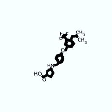 CC(C)Cc1ccc(COc2ccc(CNC3CCC(C(=O)O)C3)cc2)cc1C(F)(F)F